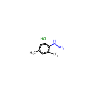 Cc1ccc(NN)c(C(F)(F)F)c1.Cl